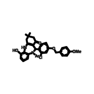 COc1ccc(COc2ccc(C3C4=C(CC(C)(C)CC4=O)Nc4c(O)cccc4N3C(C)=O)c(Cl)c2)cc1